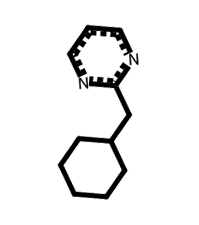 c1cnc(CC2CCCCC2)nc1